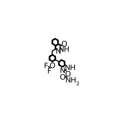 NC(=O)Oc1nc2cc(-c3cc(Cc4n[nH]c(=O)c5ccccc45)ccc3OC(F)F)ccc2[nH]1